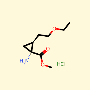 CCOCC[C@@H]1C[C@]1(N)C(=O)OC.Cl